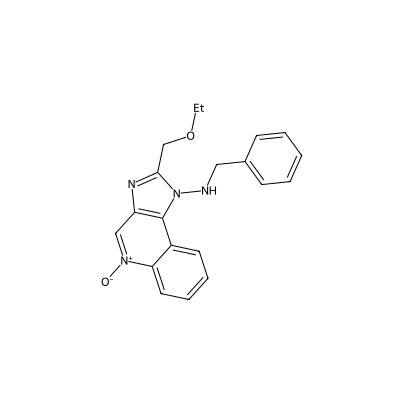 CCOCc1nc2c[n+]([O-])c3ccccc3c2n1NCc1ccccc1